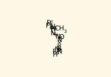 CCn1nc(C(F)(F)F)cc1CN1CC2(C1)CN(C(=O)N1CC3(CC(n4cnc(C(F)(F)F)n4)C3)C1)C2